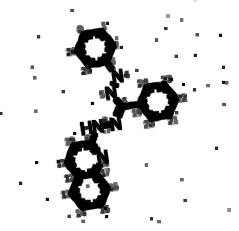 c1ccc(N=NC(=NNc2ccc3ccccc3n2)c2ccccc2)cc1